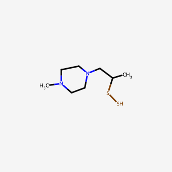 CC(CN1CCN(C)CC1)SS